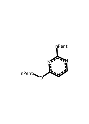 [CH2]CCCCc1nccc(OCCCCC)n1